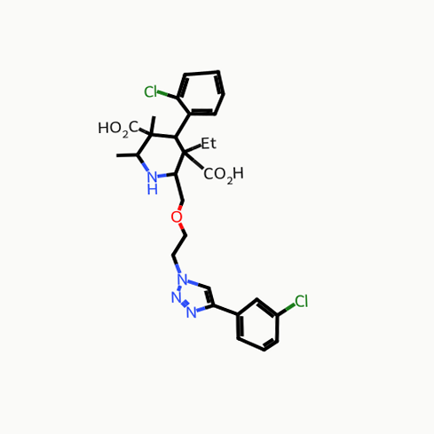 CCC1(C(=O)O)C(COCCn2cc(-c3cccc(Cl)c3)nn2)NC(C)C(C)(C(=O)O)C1c1ccccc1Cl